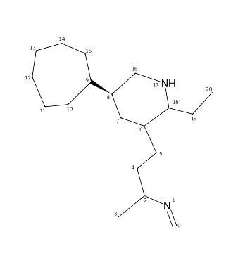 C=NC(C)CCC1C[C@@H](C2CCCCCC2)CNC1CC